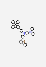 c1ccc(C2(c3ccccc3)c3ccccc3-c3cc(-c4ccc(N(c5ccc(-c6cccc7c6sc6ccccc67)cc5)c5ccc(-n6c7ccccc7c7ccccc76)cc5)cc4)ccc32)cc1